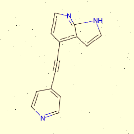 C(#Cc1ccnc2[nH]ccc12)c1ccncc1